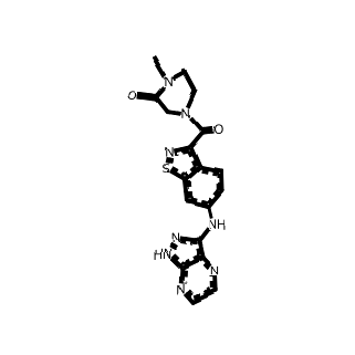 CN1CCN(C(=O)c2nsc3cc(Nc4n[nH]c5nccnc45)ccc23)CC1=O